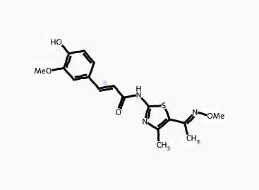 CON=C(C)c1sc(NC(=O)/C=C/c2ccc(O)c(OC)c2)nc1C